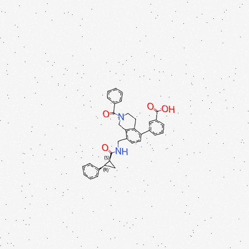 O=C(O)c1cccc(-c2ccc(CNC(=O)[C@H]3C[C@H]3c3ccccc3)c3c2CCN(C(=O)c2ccccc2)C3)c1